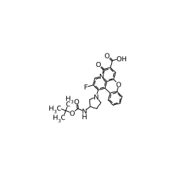 CC(C)(C)OC(=O)NC1CCN(c2c(F)cn3c(=O)c(C(=O)O)cc4c3c2-c2ccccc2O4)C1